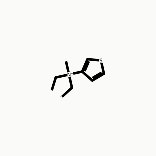 [CH2]C[N+](C)(CC)c1ccsc1